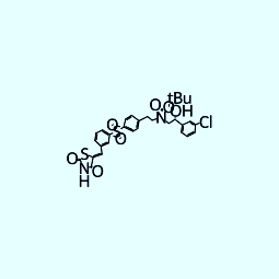 CC(C)(C)OC(=O)N(CCc1ccc(S(=O)(=O)c2cccc(/C=C3\SC(=O)NC3=O)c2)cc1)C[C@H](O)c1cccc(Cl)c1